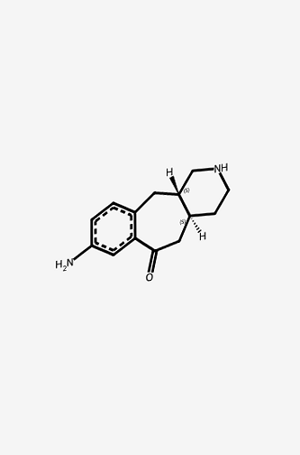 Nc1ccc2c(c1)C(=O)C[C@@H]1CCNC[C@H]1C2